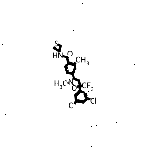 Cc1cc(C2CC(c3cc(Cl)cc(Cl)c3)(C(F)(F)F)ON2C)ccc1C(=O)NC1CSC1